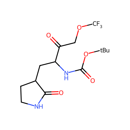 CC(C)(C)OC(=O)NC(CC1CCNC1=O)C(=O)COC(F)(F)F